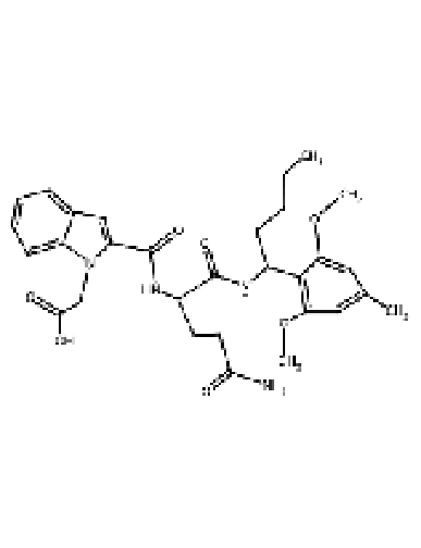 CCCCC(NC(=O)C(CCC(N)=O)NC(=O)c1cc2ccccc2n1CC(=O)O)c1c(OC)cc(C)cc1OC